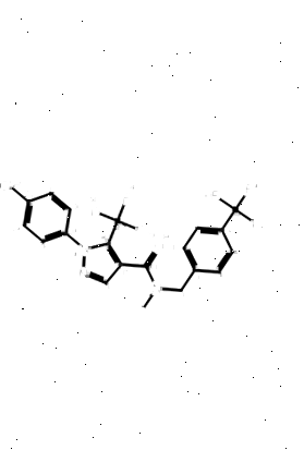 CN(Cc1ccc(C(F)(F)F)cc1)C(=O)c1cnn(-c2ccc(Cl)cc2)c1C(F)(F)F